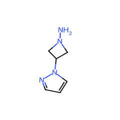 NN1CC(n2cccn2)C1